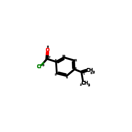 C=C(C)c1ccc(C(=O)Cl)cc1